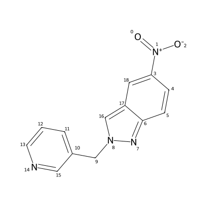 O=[N+]([O-])c1ccc2nn(Cc3cccnc3)cc2c1